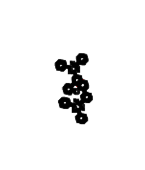 c1ccc(-c2nc(-c3ccccc3)nc(-c3cccc(-c4ccccc4Oc4ccccc4-c4cccc(-c5nc(-c6ccccc6)nc(-c6ccccc6)n5)c4)c3)n2)cc1